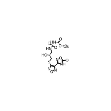 CC(C)(C)OC(=O)NS(=O)(=O)NCC(O)CSc1nonc1-c1noc(=O)[nH]1